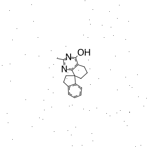 Cc1nc(O)c2c(n1)C1(CCC2)CCc2ccccc21